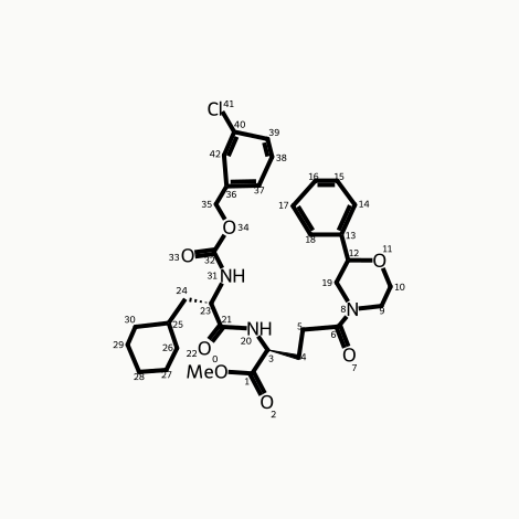 COC(=O)[C@H](CCC(=O)N1CCOC(c2ccccc2)C1)NC(=O)[C@H](CC1CCCCC1)NC(=O)OCc1cccc(Cl)c1